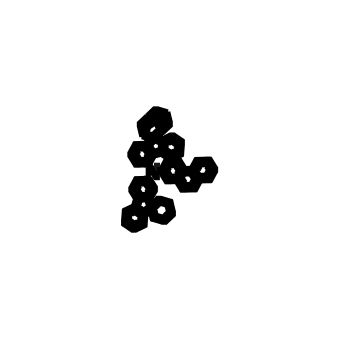 c1ccc2c(c1)-c1ccc(N(c3ccc4c(ccc5ccccc54)c3)c3cccc4c3-c3ccccc3C43C4CC5CC(C4)CC3C5)cc1C21CCCCC1